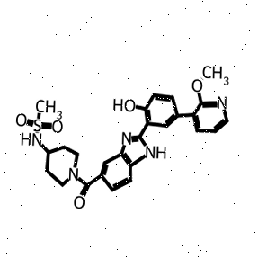 COc1ncccc1-c1ccc(O)c(-c2nc3cc(C(=O)N4CCC(NS(C)(=O)=O)CC4)ccc3[nH]2)c1